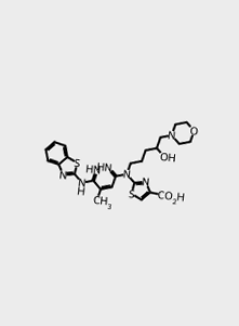 C/C(=C/C(=N)N(CCCC(O)CN1CCOCC1)c1nc(C(=O)O)cs1)C(=N)Nc1nc2ccccc2s1